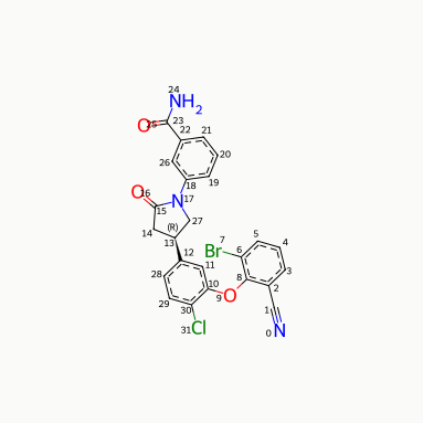 N#Cc1cccc(Br)c1Oc1cc([C@H]2CC(=O)N(c3cccc(C(N)=O)c3)C2)ccc1Cl